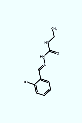 CCNC(=O)N/N=C/c1ccccc1O